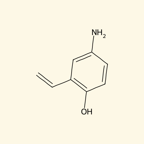 C=Cc1cc(N)ccc1O